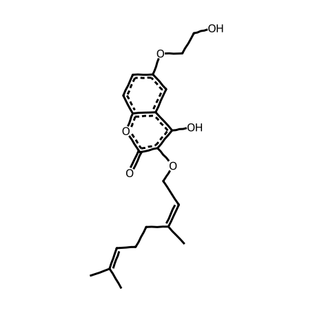 CC(C)=CCCC(C)=CCOc1c(O)c2cc(OCCO)ccc2oc1=O